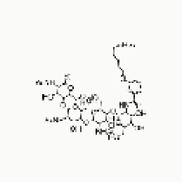 CCCCCC/C=C\CCCOc1cccc(C(=O)NC2C(OC3C(CO)OC(OC4C(CO)OC(OC5C(CO)OC(CC)C(NC(C)=O)C5O)C(NC(C)=O)C4O)C(NC(C)=O)C3O)OC(CO)C(O)C2O)c1